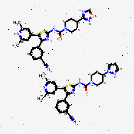 Cc1cc(-c2sc(NC(=O)N3CCC(c4ncon4)CC3)nc2-c2cccc(C#N)c2)cc(C)n1.Cc1cc(-c2sc(NC(=O)N3CCC(n4cccn4)CC3)nc2-c2cccc(C#N)c2)cc(C)n1